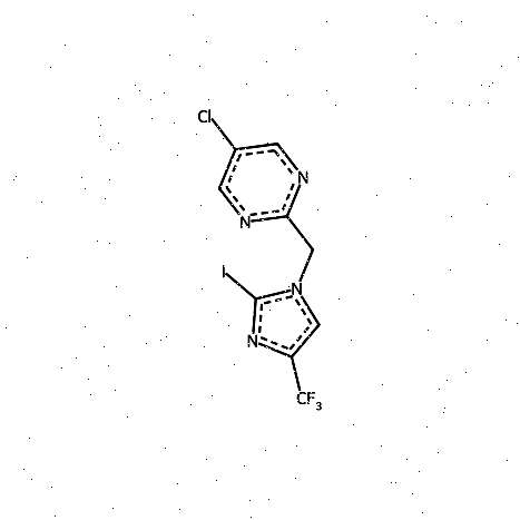 FC(F)(F)c1cn(Cc2ncc(Cl)cn2)c(I)n1